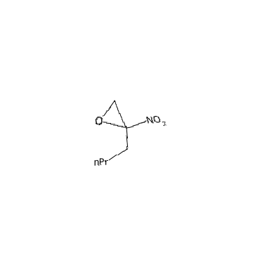 CCCCC1([N+](=O)[O-])CO1